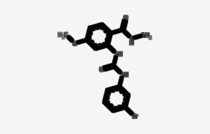 COc1ccc(C(=O)NN)c(NC(=O)Nc2cccc(Br)c2)c1